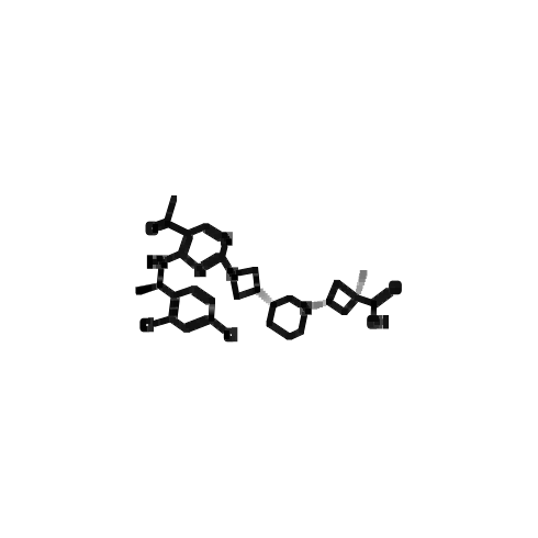 CC(=O)c1cnc(N2CC([C@H]3CCCN([C@H]4C[C@](C)(C(=O)O)C4)C3)C2)nc1N[C@H](C)c1ccc(Cl)cc1Cl